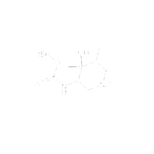 CC1CNCC(NC(=O)OC(C)(C)C)C1(C)O